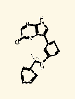 C[C@H](Nc1cccc(-c2c[nH]c3ncc(Cl)nc23)c1)c1ccccc1